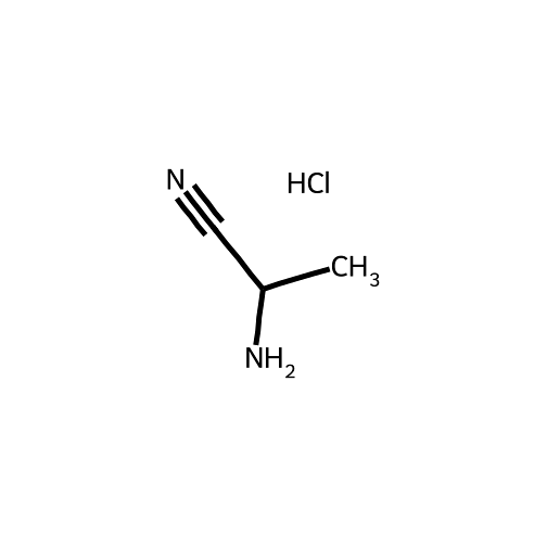 CC(N)C#N.Cl